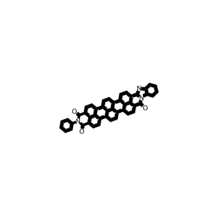 O=C1c2ccc3c4ccc5c6ccc7c(=O)n8c9ccccc9nc8c8ccc(c9ccc(c%10ccc(c2c3%10)C(=O)N1c1ccccc1)c4c59)c6c78